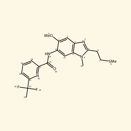 COc1cc2nc(CCSC)n(C)c2cc1NC(=O)c1cccc(C(C)(F)F)n1